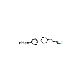 CCCCCCc1ccc(C2CCC(CC/C=C/F)CC2)cc1